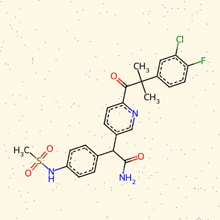 CC(C)(C(=O)c1ccc(C(C(N)=O)c2ccc(NS(C)(=O)=O)cc2)cn1)c1ccc(F)c(Cl)c1